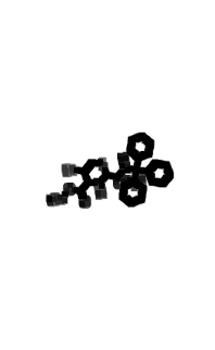 CCC1=CSC(C(NC(c2ccccc2)(c2ccccc2)c2ccccc2)C(=O)O)NC1C(=O)OC(C)(C)C